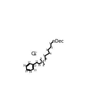 CCCCCCCCCCCCCCCC[N+](C)(C)CCc1ccccc1.[Cl-]